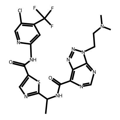 CC(NC(=O)c1ncnc2c1nnn2CCN(C)C)c1ncc(C(=O)Nc2cc(C(F)(F)F)c(Cl)cn2)s1